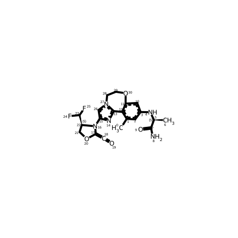 Cc1cc(N[C@@H](C)C(N)=O)cc2c1-c1nc(N3C(=C=O)OC[C@H]3C(F)F)cn1CCO2